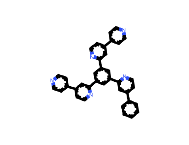 c1ccc(-c2ccnc(-c3cc(-c4cc(-c5ccncc5)ccn4)cc(-c4cc(-c5ccncc5)ccn4)c3)c2)cc1